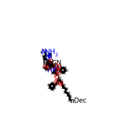 C=Nn1c(/C(N)=N\C)ccc1[C@@H]1O[C@](C#N)(COP(=O)(NC(C)C(=O)OC[C@@H](COCCCCCCCCCCCCCCCCCC)OCc2ccccc2)Oc2ccccc2)[C@H]2OC(C)(C)O[C@@H]12